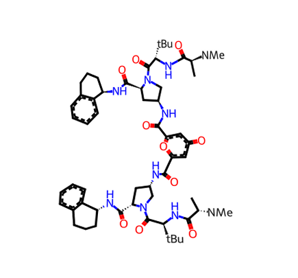 CN[C@@H](C)C(=O)N[C@H](C(=O)N1C[C@@H](NC(=O)c2cc(=O)cc(C(=O)N[C@H]3C[C@@H](C(=O)N[C@@H]4CCCc5ccccc54)N(C(=O)[C@@H](NC(=O)[C@H](C)NC)C(C)(C)C)C3)o2)C[C@H]1C(=O)N[C@@H]1CCCc2ccccc21)C(C)(C)C